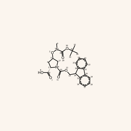 CN(OC1C[C@@H](C(=O)O)N(C(=O)OCC2c3ccccc3-c3ccccc32)C1)C(=O)OC(C)(C)C